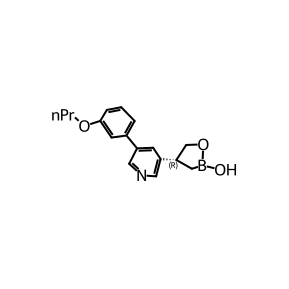 CCCOc1cccc(-c2cncc([C@@H]3COB(O)C3)c2)c1